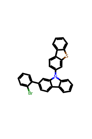 Brc1ccccc1-c1ccc2c3ccccc3n(-c3ccc4c(c3)sc3ccccc34)c2c1